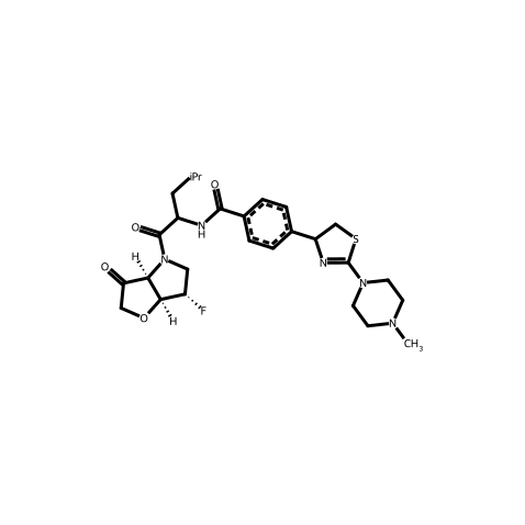 CC(C)CC(NC(=O)c1ccc(C2CSC(N3CCN(C)CC3)=N2)cc1)C(=O)N1C[C@H](F)[C@H]2OCC(=O)[C@H]21